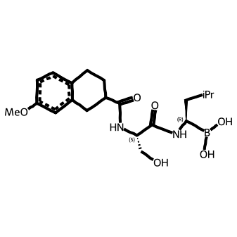 COc1ccc2c(c1)CC(C(=O)N[C@@H](CO)C(=O)N[C@@H](CC(C)C)B(O)O)CC2